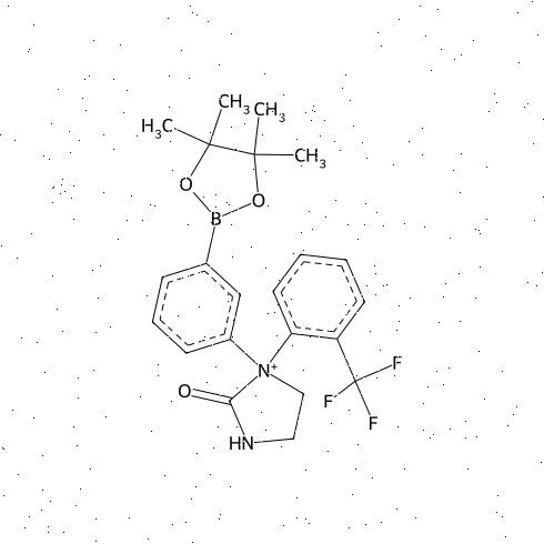 CC1(C)OB(c2cccc([N+]3(c4ccccc4C(F)(F)F)CCNC3=O)c2)OC1(C)C